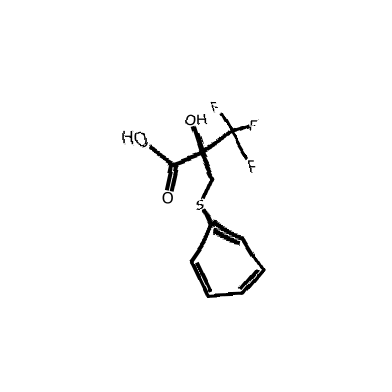 O=C(O)C(O)(CSc1ccccc1)C(F)(F)F